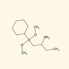 CCC(N)C[Si](OC)(OC)C1CCCCC1